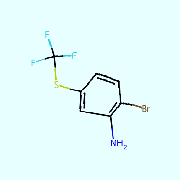 Nc1cc(SC(F)(F)F)ccc1Br